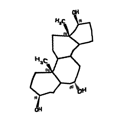 C[C@]12CC[C@H](O)CC1[C@@H](O)CC1C2CC[C@@]2(C)C1CC[C@@H]2O